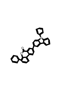 O=c1oc2c(-c3ccccc3)cccc2c2ccc(-c3ccc4c(c3)c3ccccc3n4-c3ccccc3)cc12